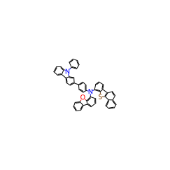 c1ccc(-n2c3ccccc3c3ccc(-c4ccc(N(c5cccc6c5oc5ccccc56)c5cccc6c5sc5c7ccccc7ccc65)cc4)cc32)cc1